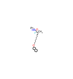 CC(C=CCCCCCCCOc1ccc2ccccc2c1)=C(F)C(=O)NCC(C)C